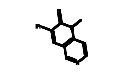 CC(C)c1cc2cnccc2n(C)c1=O